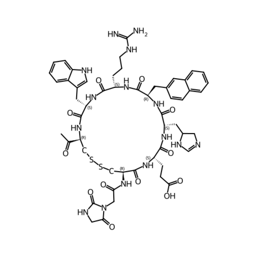 CC(=O)[C@@H]1CSSC[C@H](NC(=O)CN2C(=O)CNC2=O)C(=O)N[C@@H](CCC(=O)O)C(=O)N[C@@H](CC2CN=CN2)C(=O)N[C@H](Cc2ccc3ccccc3c2)C(=O)N[C@@H](CCCNC(=N)N)C(=O)N[C@@H](Cc2c[nH]c3ccccc23)C(=O)N1